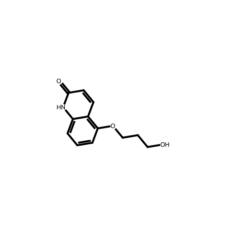 O=c1ccc2c(OCCCO)cccc2[nH]1